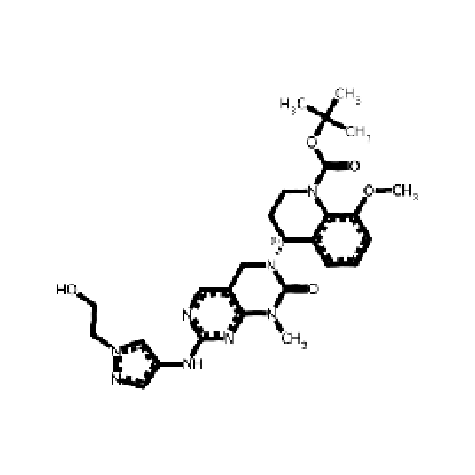 COc1cccc2c1N(C(=O)OC(C)(C)C)CC[C@H]2N1Cc2cnc(Nc3cnn(CCO)c3)nc2N(C)C1=O